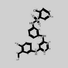 O=S(=O)(Nc1cccc(Nc2cc(Nc3ccc(F)c(CI)c3)ncn2)c1)c1cnccc1Cl